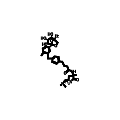 CC[C@@]12CO[C@@](c3ccc(C)c(Cc4ccc(CCCC(=O)NC(C)(CCCN(C)C)C(N)=O)cc4)c3)(O1)[C@H](O)[C@@H](O)[C@@H]2O